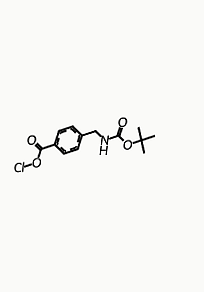 CC(C)(C)OC(=O)NCc1ccc(C(=O)OCl)cc1